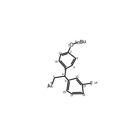 CCCCOc1ccc(C(CC(C)=O)c2cccc(F)c2)cc1